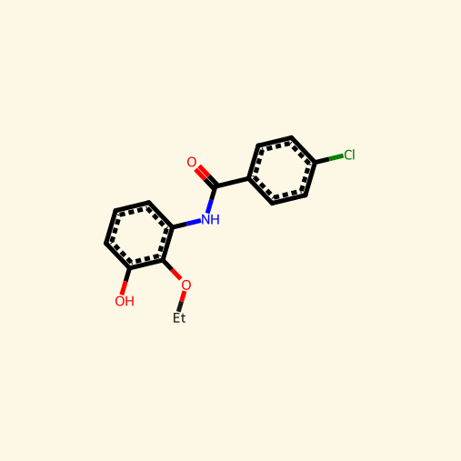 CCOc1c(O)cccc1NC(=O)c1ccc(Cl)cc1